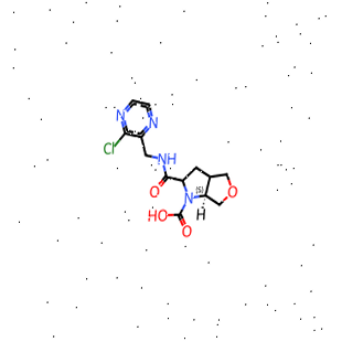 O=C(NCc1nccnc1Cl)C1CC2COC[C@H]2N1C(=O)O